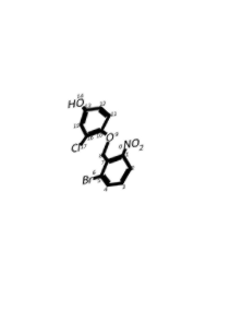 O=[N+]([O-])c1cccc(Br)c1COc1ccc(O)cc1Cl